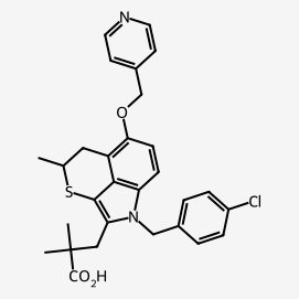 CC1Cc2c(OCc3ccncc3)ccc3c2c(c(CC(C)(C)C(=O)O)n3Cc2ccc(Cl)cc2)S1